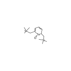 C[Si](C)(C)CC1=CC=CC(C[Si](C)(C)C)[Te]1=O